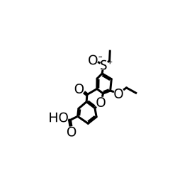 CCOc1cc([S+]([O-])CC)cc2c(=O)c3cc(C(=O)O)ccc3oc12